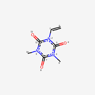 C=Cn1c(=O)n(C)c(=O)n(C)c1=O